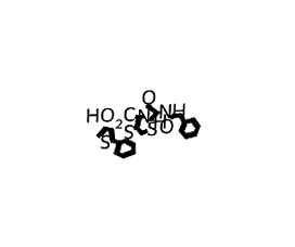 O=C(Cc1ccccc1)N[C@@H]1C(=O)N2C(C(=O)O)=C(Sc3ccccc3-c3cccs3)CS[C@H]12